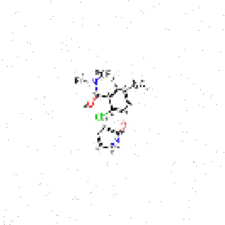 CCN(C(=O)c1cc([N+](=O)[O-])cc(Oc2ccccn2)c1Cl)C(F)(F)F